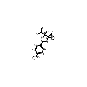 CC(C)C(C)(C)C1(CCc2ccc(Cl)cc2)CO1